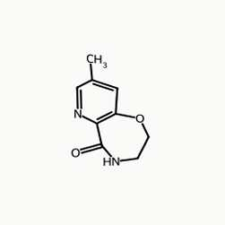 Cc1cnc2c(c1)OCCNC2=O